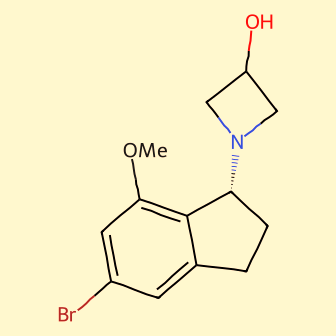 COc1cc(Br)cc2c1[C@H](N1CC(O)C1)CC2